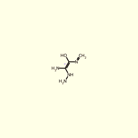 C=N/C(O)=C(/N)NN